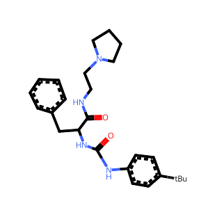 CC(C)(C)c1ccc(NC(=O)NC(Cc2ccccc2)C(=O)NCCN2CCCC2)cc1